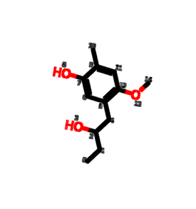 CCC(O)Cc1cc(O)c(C)cc1OC